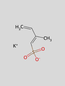 C=CC(C)=CS(=O)(=O)[O-].[K+]